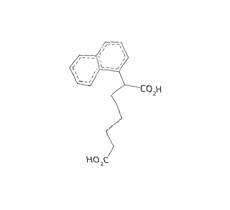 O=C(O)CCCCC(C(=O)O)c1cccc2ccccc12